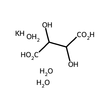 O.O.O.O=C(O)C(O)C(O)C(=O)O.[KH]